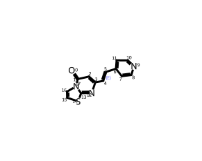 O=c1cc(/C=C/c2ccncc2)nc2sccn12